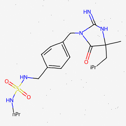 CCCNS(=O)(=O)NCc1ccc(CN2C(=N)NC(C)(CC(C)C)C2=O)cc1